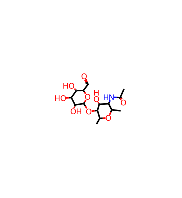 CC(=O)NC1C(C)OC(C)C(OC2OC(C=O)C(O)C(O)C2O)C1O